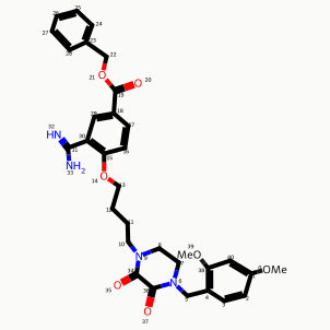 COc1ccc(CN2CCN(CCCCOc3ccc(C(=O)OCc4ccccc4)cc3C(=N)N)C(=O)C2=O)c(OC)c1